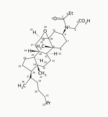 CCC(=O)N(CC(=O)O)[C@H]1CC[C@]2(C)[C@H]3CC[C@]4(C)[C@@H](C(C)CCCC(C)C)CC[C@H]4[C@@H]3C[C@H]3OC32C1